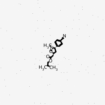 CC(C)COC(=O)C[C@@H]1C[C@@H](c2ccc(C#N)cc2)N(C)O1